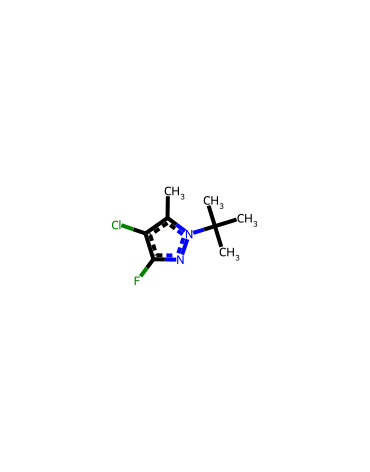 Cc1c(Cl)c(F)nn1C(C)(C)C